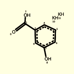 O=C(O)c1cccc(O)c1.[KH].[KH]